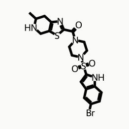 CC1Cc2nc(C(=O)N3CCN(S(=O)(=O)c4cc5cc(Br)ccc5[nH]4)CC3)sc2CN1